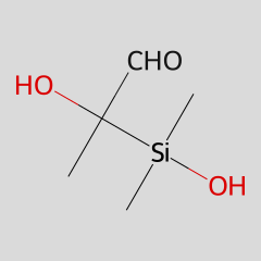 CC(O)(C=O)[Si](C)(C)O